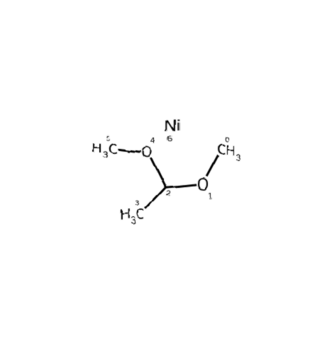 COC(C)OC.[Ni]